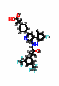 Cc1cc(F)ccc1-c1cc([C@H]2CC[C@H](C(C)(C)C(=O)O)CC2)ncc1NCC(=O)C(C)(C)c1cc(C(F)(F)F)cc(C(F)(F)F)c1